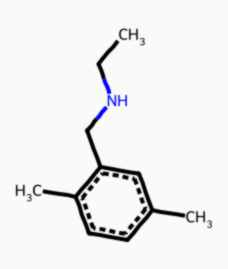 CCNCc1cc(C)ccc1C